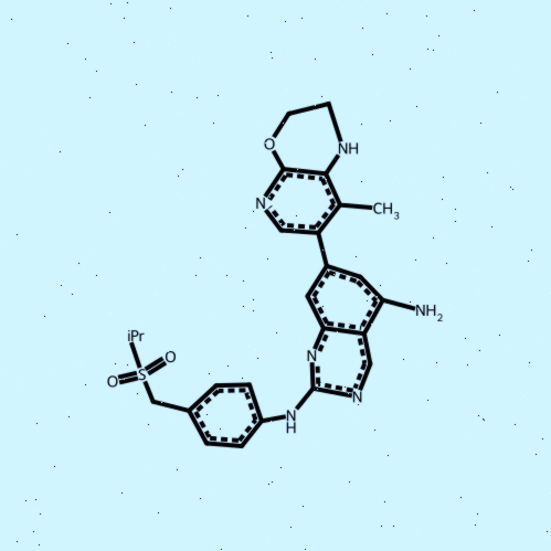 Cc1c(-c2cc(N)c3cnc(Nc4ccc(CS(=O)(=O)C(C)C)cc4)nc3c2)cnc2c1NCCO2